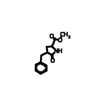 COC(=O)C1CC(Cc2ccccc2)C(=O)N1